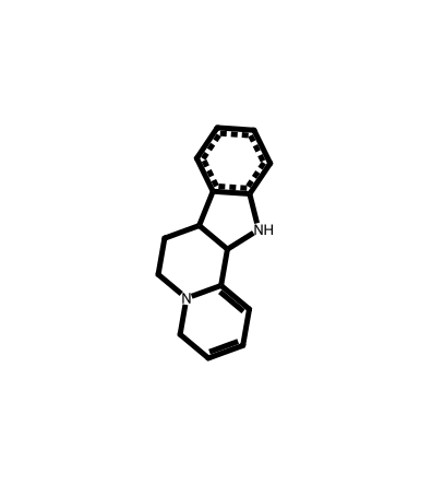 C1=CCN2CCC3c4ccccc4NC3C2=C1